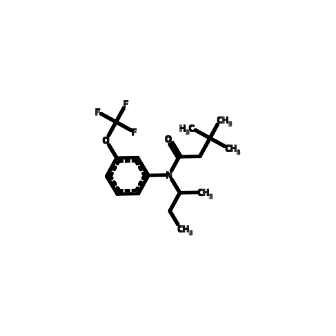 CCC(C)N(C(=O)CC(C)(C)C)c1cccc(OC(F)(F)F)c1